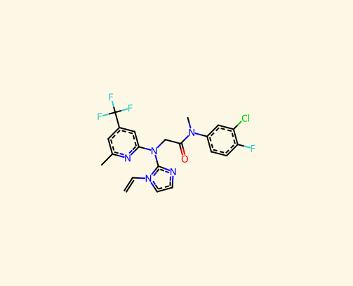 C=Cn1ccnc1N(CC(=O)N(C)c1ccc(F)c(Cl)c1)c1cc(C(F)(F)F)cc(C)n1